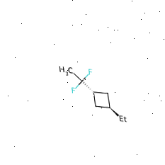 CC[C@H]1C[C@H](C(C)(F)F)C1